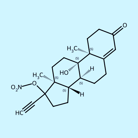 C#CC1(O[N+](=O)[O-])CC[C@H]2[C@@H]3CCC4=CC(=O)CC[C@]4(C)[C@]3(O)CC[C@@]21C